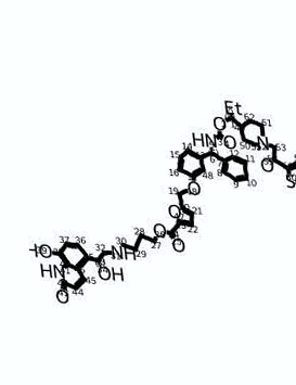 CC[C@H](OC(=O)N[C@@H](c1ccccc1)c1cccc(OCc2ccc(C(=O)OCCCCNC[C@H](O)c3ccc(O)c4[nH]c(=O)ccc34)o2)c1)C1CCN(CC(=O)c2cccs2)CC1